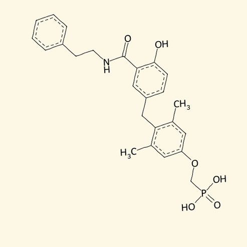 Cc1cc(OCP(=O)(O)O)cc(C)c1Cc1ccc(O)c(C(=O)NCCc2ccccc2)c1